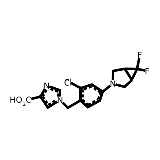 O=C(O)c1cn(Cc2ccc(N3CC4C(C3)C4(F)F)cc2Cl)cn1